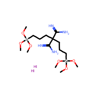 CO[Si](CCCC(CCC[Si](OC)(OC)OC)(C(=N)N)C(=N)N)(OC)OC.I.I